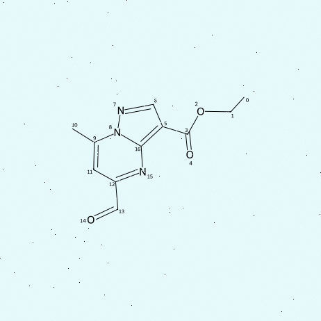 CCOC(=O)c1cnn2c(C)cc(C=O)nc12